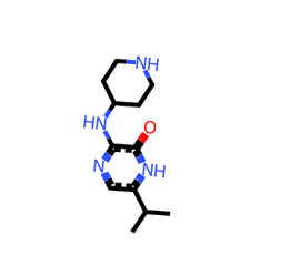 CC(C)c1cnc(NC2CCNCC2)c(=O)[nH]1